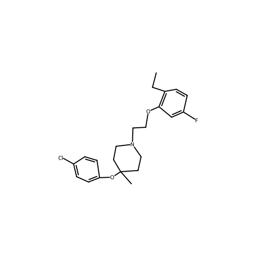 CCc1ccc(F)cc1OCCN1CCC(C)(Oc2ccc(Cl)cc2)CC1